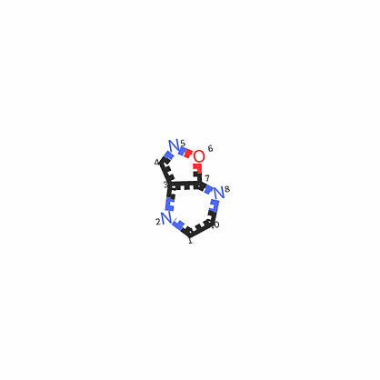 [c]1cnc2cnoc2n1